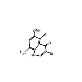 CCc1c[nH]c2c(C)cc(OC)c(Br)c2c1=O